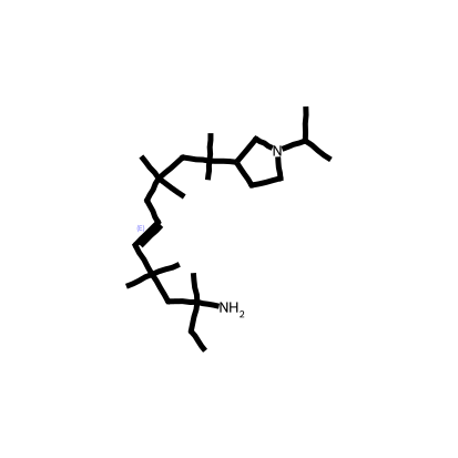 CCC(C)(N)CC(C)(C)/C=C/CC(C)(C)CC(C)(C)C1CCN(C(C)C)C1